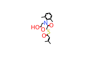 CC(C)=CC(=O)SCC(=O)N(CC(=O)O)c1c(C)cccc1C